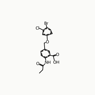 CCC(=O)Nc1ccc(COc2ccc(Br)c(Cl)c2)cc1C(=O)O